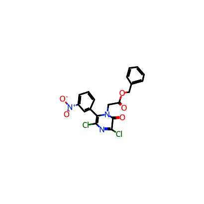 O=C(Cn1c(-c2cccc([N+](=O)[O-])c2)c(Cl)nc(Cl)c1=O)OCc1ccccc1